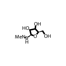 CNB[C@@H]1O[C@H](CO)C(O)[C@@H]1O